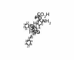 Nc1cc(C[C@H](NS(=O)(=O)Cc2ccccc2)C(=O)NCCCCc2ccccc2)ccc1OC(F)C(=O)O